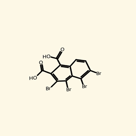 O=C(O)c1c(Br)c(Br)c2c(Br)c(Br)ccc2c1C(=O)O